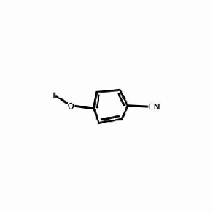 N#Cc1ccc(OI)cc1